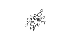 Cc1cc(Cl)cc(C(=O)NC(C)CF)c1NC(=O)c1cc(C(F)(F)F)nn1-c1ncccc1Cl